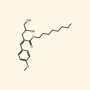 CCCCCCCCOC(=O)C(=Cc1ccc(OC)cc1)CC(O)CO